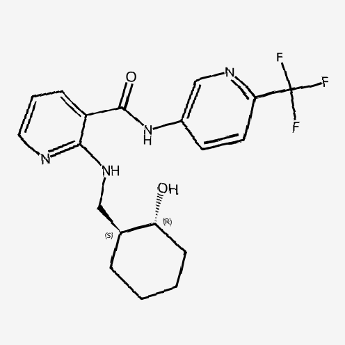 O=C(Nc1ccc(C(F)(F)F)nc1)c1cccnc1NC[C@@H]1CCCC[C@H]1O